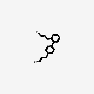 CCC=CCc1ccc(-c2ccc[c]c2CC=CCCC)cc1